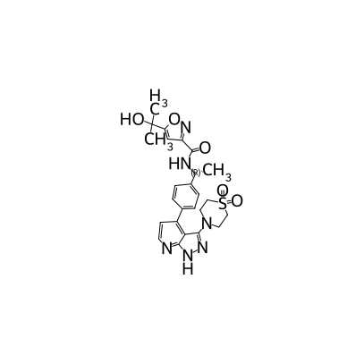 C[C@@H](NC(=O)c1cc(C(C)(C)O)on1)c1ccc(-c2ccnc3[nH]nc(N4CCS(=O)(=O)CC4)c23)cc1